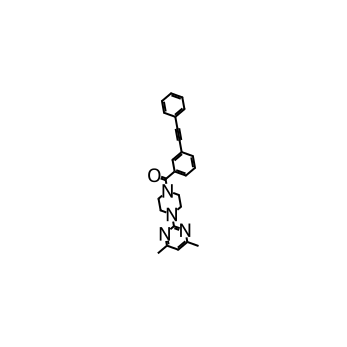 Cc1cc(C)nc(N2CCN(C(=O)c3cccc(C#Cc4ccccc4)c3)CC2)n1